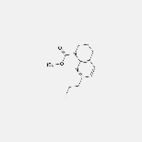 CC(C)(C)OC(=O)N1CCCc2ccc(CCI)nc21